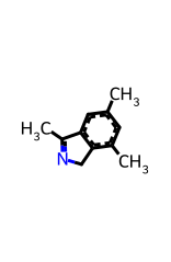 CC1=NCc2c(C)cc(C)cc21